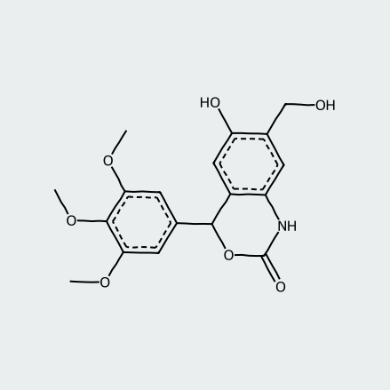 COc1cc(C2OC(=O)Nc3cc(CO)c(O)cc32)cc(OC)c1OC